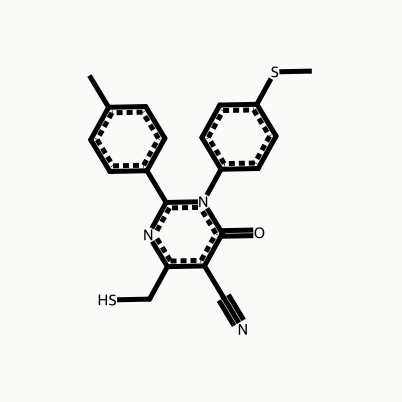 CSc1ccc(-n2c(-c3ccc(C)cc3)nc(CS)c(C#N)c2=O)cc1